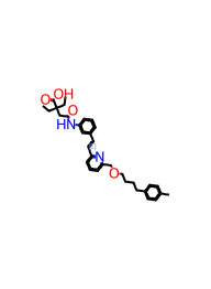 CCC(CC)(CC(=O)Nc1cccc(/C=C/c2cccc(COCCCCc3ccc(C)cc3)n2)c1)C(=O)O